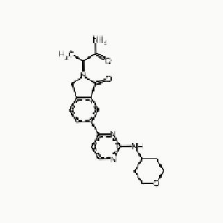 CC(C(N)=O)N1Cc2ccc(-c3ccnc(NC4CCOCC4)n3)cc2C1=O